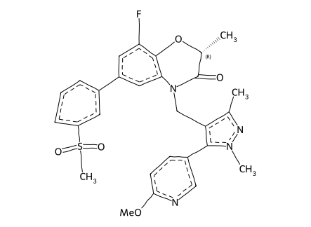 COc1ccc(-c2c(CN3C(=O)[C@@H](C)Oc4c(F)cc(-c5cccc(S(C)(=O)=O)c5)cc43)c(C)nn2C)cn1